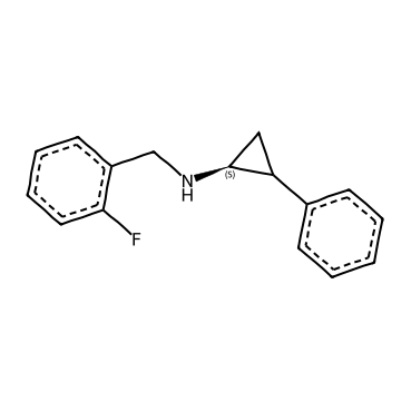 Fc1ccccc1CN[C@H]1CC1c1ccccc1